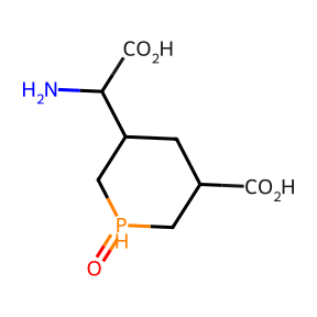 NC(C(=O)O)C1CC(C(=O)O)C[PH](=O)C1